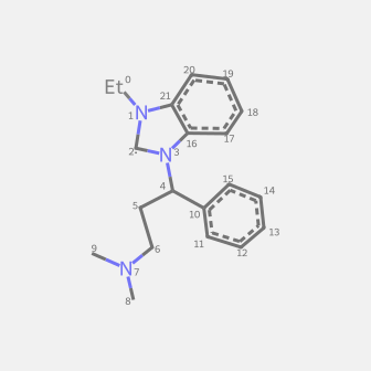 CCN1[CH]N(C(CCN(C)C)c2ccccc2)c2ccccc21